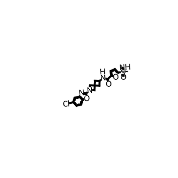 C[S@@](=N)(=O)c1ccc(C(=O)NC2CC3(C2)CN(c2nc4cc(Cl)ccc4o2)C3)o1